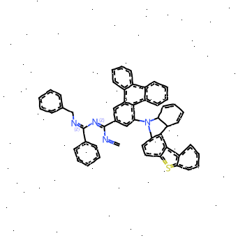 C=N/C(=N\C(=N/Cc1ccccc1)c1ccccc1)c1cc(N2c3ccc4sc5ccccc5c4c3C3C=CC=CC32)c2c3ccccc3c3ccccc3c2c1